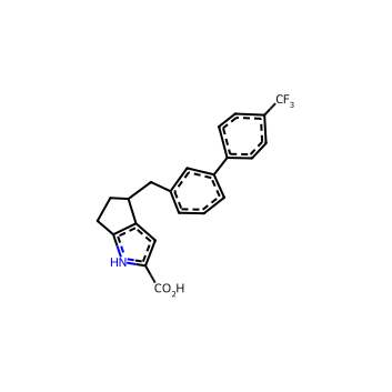 O=C(O)c1cc2c([nH]1)CCC2Cc1cccc(-c2ccc(C(F)(F)F)cc2)c1